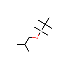 CC(C)CO[Si](C)(C)C(C)(C)C